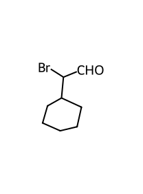 O=CC(Br)C1CCCCC1